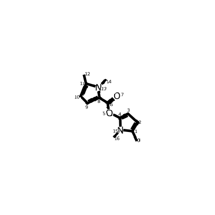 Cc1ccc(OC(=O)c2ccc(C)n2C)n1C